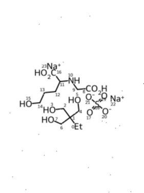 CCC(CO)(CO)CO.O=C(O)CNC(CCCO)C(=O)O.O=S(=O)([O-])[O-].[Na+].[Na+]